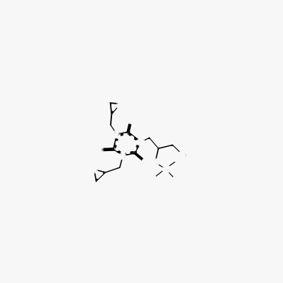 C[Si](C)(C)OC(CO)Cn1c(=O)n(CC2CO2)c(=O)n(CC2CO2)c1=O